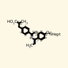 C/C=C(\N=C(\c1ccc(CC(C)C(=O)O)cc1)C(C)CC)c1ccc(OCCCCCCC)cc1